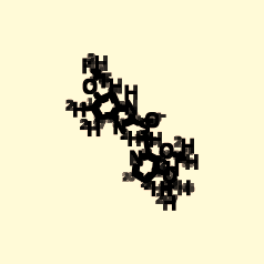 [2H]c1c(OC([2H])(F)F)c([2H])c2[nH]c([S+]([O-])C([2H])([2H])c3nccc(OC([2H])([2H])[2H])c3OC([2H])([2H])[2H])nc2c1[2H]